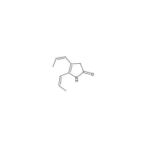 C/C=C\C1=C(/C=C\C)NC(=O)C1